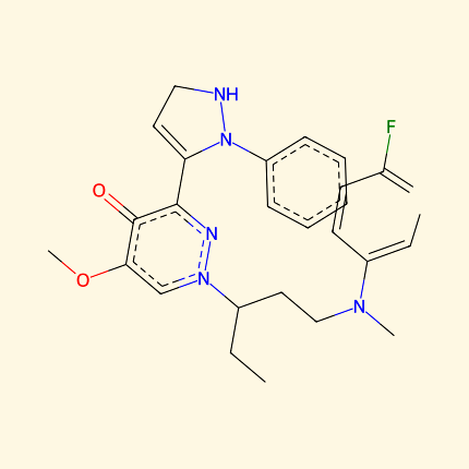 C=C(F)/C=C\C(=C/C)N(C)CCC(CC)n1cc(OC)c(=O)c(C2=CCNN2c2ccccc2)n1